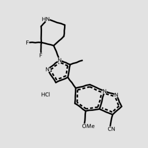 COc1cc(-c2cnn(C3CCNCC3(F)F)c2C)cn2ncc(C#N)c12.Cl